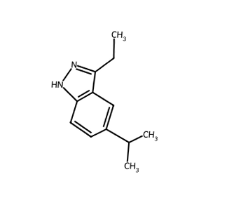 CCc1n[nH]c2ccc(C(C)C)cc12